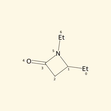 CCC1CC(=O)N1CC